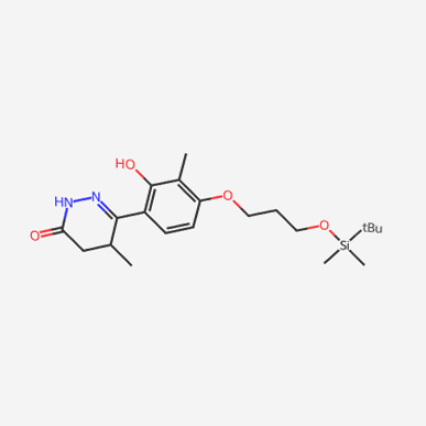 Cc1c(OCCCO[Si](C)(C)C(C)(C)C)ccc(C2=NNC(=O)CC2C)c1O